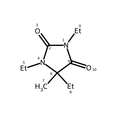 CCN1C(=O)N(CC)C(C)(CC)C1=O